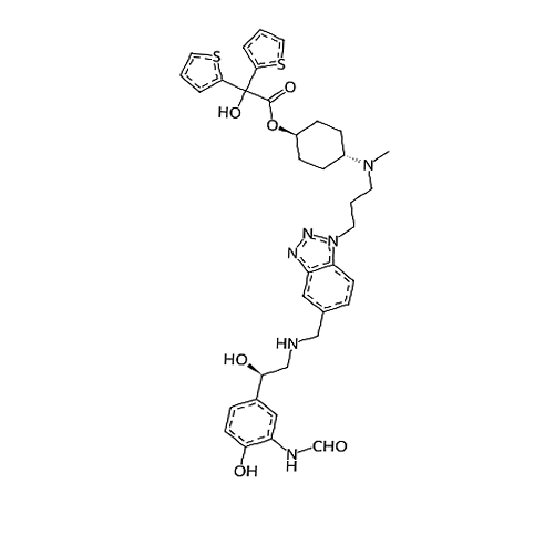 CN(CCCn1nnc2cc(CNC[C@H](O)c3ccc(O)c(NC=O)c3)ccc21)[C@H]1CC[C@H](OC(=O)C(O)(c2cccs2)c2cccs2)CC1